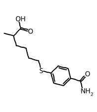 CC(CCCCSc1ccc(C(N)=O)cc1)C(=O)O